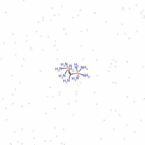 NC(=S(N)(N)(N)N)[SH](N)(N)(N)N